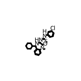 CN1C(=O)C(NC(=S)Nc2cccc(Cl)c2)N=C(C2CCCCC2)c2ccccc21